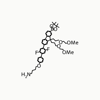 COCCOCCCC1(CCCOCCOC)c2cc(B3OC(C)(C)C(C)(C)O3)ccc2-c2ccc(-c3cc(F)c(-c4ccc(OCCCCN)cc4)cc3F)cc21